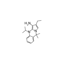 CCc1cn2c(c1N)N(C(C)C)c1ccccc1C2(C)C